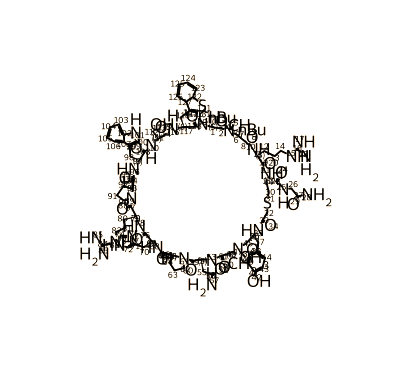 CCCC[C@H]1C(=O)N(C)[C@@H](CCCC)C(=O)N[C@@H](CCCNC(=N)N)C(=O)N[C@H](C(=O)NCC(N)=O)CSCC(=O)N[C@@H](Cc2ccc(O)cc2)C(=O)N(C)[C@@H](C)C(=O)N[C@@H](CC(N)=O)C(=O)N2CCC[C@H]2C(=O)N[C@@H](Cc2c[nH]cn2)C(=O)N[C@@H](CCCNC(=N)N)C(=O)N2CCC[C@H]2C(=O)N[C@@H](Cc2c[nH]c3ccccc23)C(=O)N[C@@H](CO)C(=O)N[C@@H](CC2=CSC3C=CC=CC23)C(=O)N1C